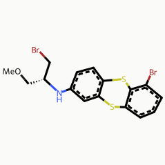 COC[C@H](CBr)Nc1ccc2c(c1)Sc1cccc(Br)c1S2